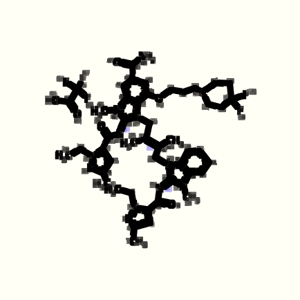 CCn1nc(C)cc1C(=O)/N=c1\n(C)c2ccccc2n1C/C(C)=C(\C)Cn1/c(=N/C(=O)c2cc(C)nn2CC)n(C)c2cc(C(N)=O)cc(OCCCN3CCC(F)(F)CC3)c21.O=C(O)C(F)(F)F